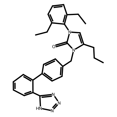 CCCc1cn(-c2c(CC)cccc2CC)c(=O)n1Cc1ccc(-c2ccccc2-c2nnn[nH]2)cc1